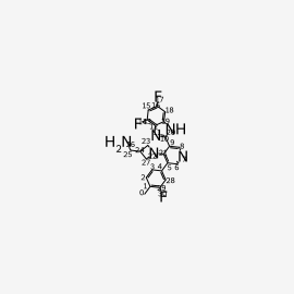 Cc1ccc(-c2cncc(-c3nc4c(F)cc(F)cc4[nH]3)c2N2CC(CN)C2)cc1F